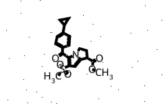 COC(=O)C1CCn2c1cc(S(C)(=O)=O)c2C(=O)c1ccc(C2CC2)cc1